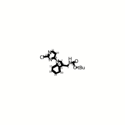 CC(C)(C)OC(=O)NCc1cn(-c2ccnc(Cl)n2)c2ccccc12